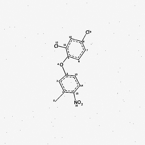 Cc1cc(Oc2ccc(Cl)cc2Cl)ccc1[N+](=O)[O-]